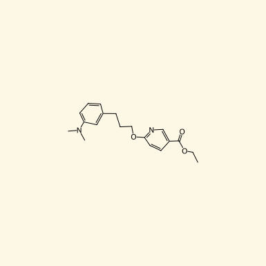 CCOC(=O)c1ccc(OCCCc2cccc(N(C)C)c2)nc1